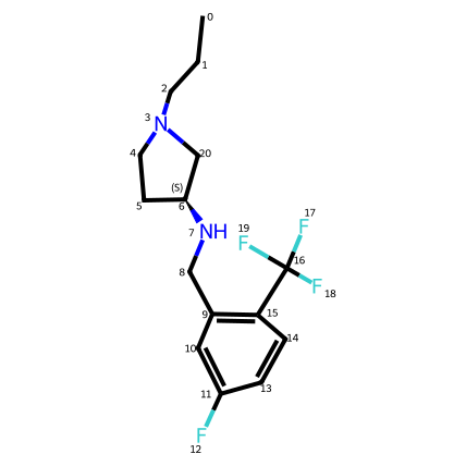 CCCN1CC[C@H](NCc2cc(F)ccc2C(F)(F)F)C1